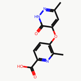 Cc1cc(Oc2ccc(C(=O)O)nc2C)c(=O)[nH]n1